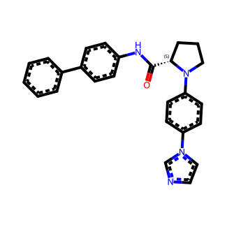 O=C(Nc1ccc(-c2ccccc2)cc1)[C@@H]1CCCN1c1ccc(-n2ccnc2)cc1